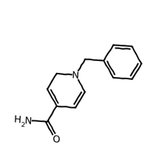 NC(=O)C1=CCN(Cc2ccccc2)C=C1